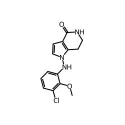 COc1c(Cl)cccc1Nn1ccc2c1CCNC2=O